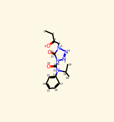 CCC(=O)Cn1nnn(C(=O)N(c2ccccc2)C(C)C)c1=O